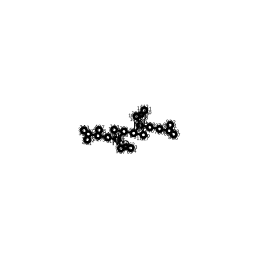 c1ccc(-c2ccc(-c3ccc(-c4ccccc4)c(-c4nc(-c5ccc(-c6ccc(-c7cc8ccccc8c8ccccc78)c7ccccc67)cc5)nc(-c5cccc6c5oc5ccccc56)n4)c3)cc2-c2nc(-c3ccc(-c4ccc(-c5cc6ccccc6c6ccccc56)cc4)cc3)nc(-c3cccc4c3oc3ccccc34)n2)cc1